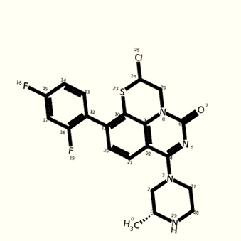 C[C@@H]1CN(c2nc(=O)n3c4c(c(-c5ccc(F)cc5F)ccc24)SC(Cl)C3)CCN1